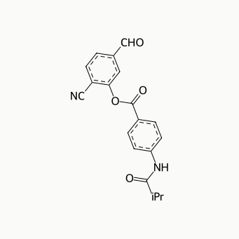 CC(C)C(=O)Nc1ccc(C(=O)Oc2cc(C=O)ccc2C#N)cc1